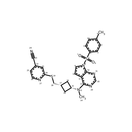 Cc1ccc(S(=O)(=O)n2ccc3c(N(C)[C@H]4C[C@@H](CSc5cc(C#N)ccn5)C4)ncnc32)cc1